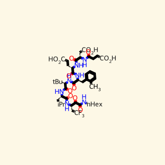 CCCCCCNC(=O)C(=O)[C@H](CC(F)(F)F)NC(=O)[C@H](CC(C)C)NC(=O)[C@@H](NC(=O)[C@H](Cc1ccccc1C)NC(=O)[C@H](CCC(=O)O)NC(=O)[C@H](CC(=O)O)NC(=O)CCC(=O)O)C(C)(C)C